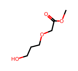 COC(=O)COCCCO